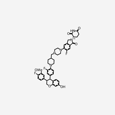 COc1cc(C2COc3cc(O)ccc3C2c2ccc(N3CCC(CN4CCN(c5cc6c(cc5F)C(=O)N([C@H]5CCC(=O)NC5=O)C6)CC4)CC3)c(F)c2)ccc1F